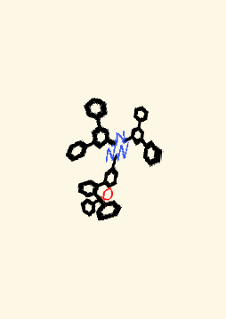 c1ccc(-c2cc(-c3ccccc3)cc(-c3nc(-c4cc(-c5ccccc5)cc(-c5ccccc5)c4)nc(-c4ccc5c(c4)-c4ccccc4C(c4ccccc4)(c4ccccc4)O5)n3)c2)cc1